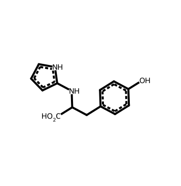 O=C(O)C(Cc1ccc(O)cc1)Nc1ccc[nH]1